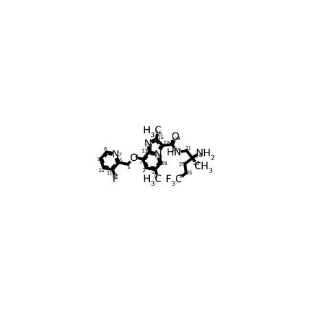 Cc1cc(OCc2ncccc2F)c2nc(C)c(C(=O)NCC(C)(N)CCC(F)(F)F)n2c1